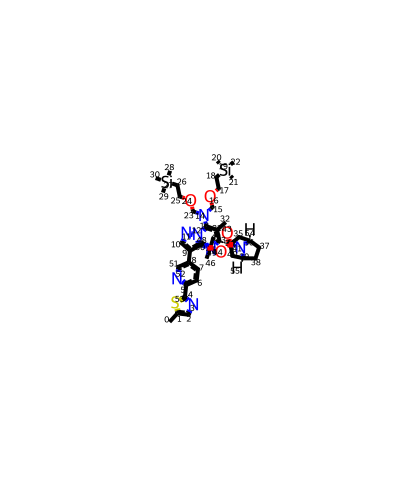 Cc1cnc(-c2ccc(-c3cnn4c(N(COCC[Si](C)(C)C)COCC[Si](C)(C)C)c(C)c([C@@H]5C[C@H]6CC[C@@H](C5)N6C(=O)OC(C)(C)C)nc34)cn2)s1